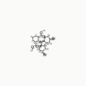 COC(=O)c1cccc(C(O)OC)c1-n1c2ccc(Br)cc2c2cc(Br)ccc21